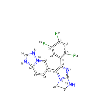 Fc1cc(F)c(-c2nc3n(c2-c2ccc4ncnn4c2)CCN3)cc1F